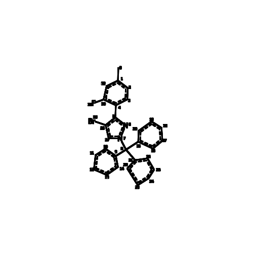 Cc1ccc(-c2nn(C(c3ccccc3)(c3ccccc3)c3ccccc3)cc2Br)c(F)c1